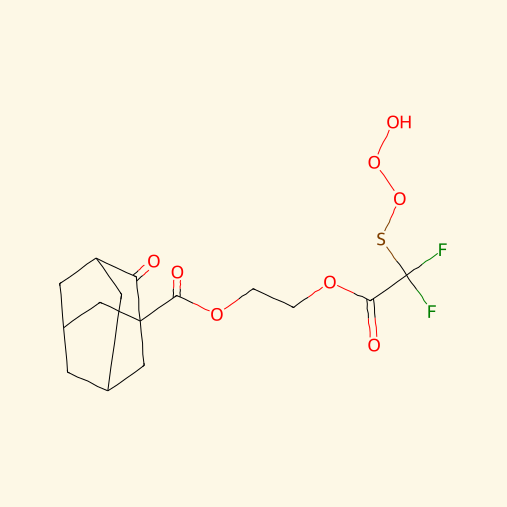 O=C(OCCOC(=O)C12CC3CC(CC(C3)C1=O)C2)C(F)(F)SOOO